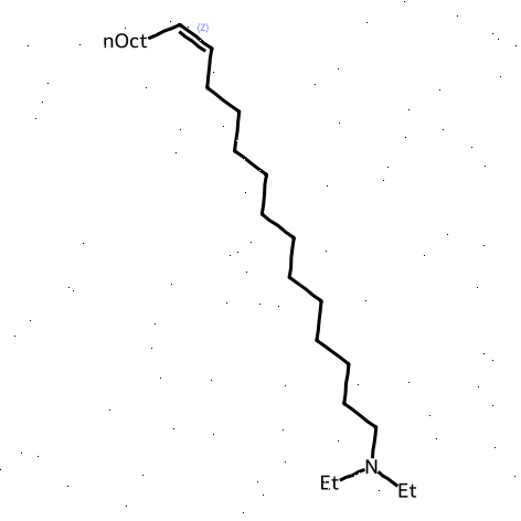 CCCCCCCC/C=C\CCCCCCCCCCCCN(CC)CC